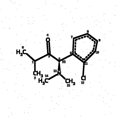 CC(C)C(=O)[C@@H](c1ccccc1Cl)N(C)C